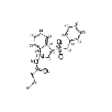 CCCC(=O)On1cc(S(=O)(=O)Cc2ccccc2)c2ccccc21